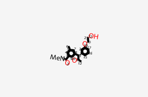 CNC(=O)c1cc(C)cc2c1OC(C)[C@H]2c1cccc(OCCO)c1